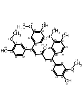 COc1cc(C(=CC(=O)CC(c2ccc(O)c(OC)c2)c2ccc(O)c(OC)c2)c2ccc(O)c(OC)c2)ccc1O